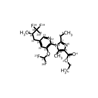 CCOC(=O)c1nc(CC)n(-c2ncc(C[C@@H](C)C(F)(F)F)cc2OC(F)F)c1C